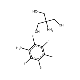 Fc1c(F)c(F)c(P)c(F)c1F.NC(CO)(CO)CO